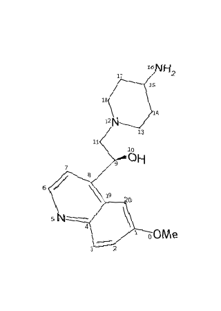 COc1ccc2nccc([C@H](O)CN3CCC(N)CC3)c2c1